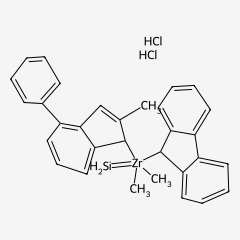 CC1=Cc2c(-c3ccccc3)cccc2[CH]1[Zr]([CH3])([CH3])(=[SiH2])[CH]1c2ccccc2-c2ccccc21.Cl.Cl